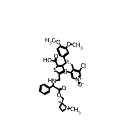 COc1ccc([C@H](Cc2c(Cl)c[n+]([O-])cc2Cl)c2cc(CNC(C(=O)OC[C@@H]3CCN3C)c3ccccc3)sc2C(=O)O)cc1OC